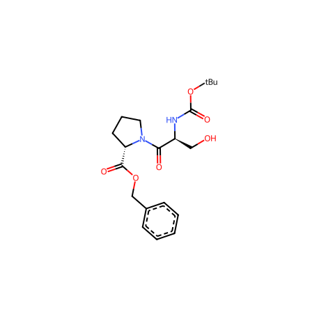 CC(C)(C)OC(=O)N[C@@H](CO)C(=O)N1CCC[C@H]1C(=O)OCc1ccccc1